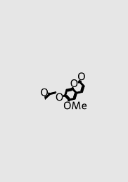 COc1cc2ccc(=O)oc2cc1OCC1CO1